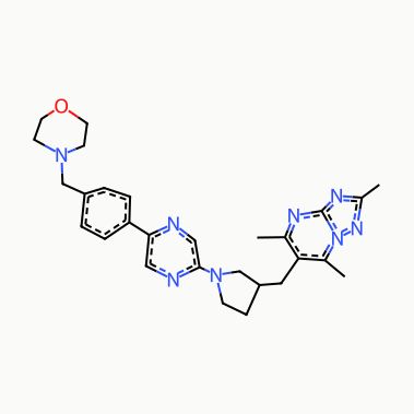 Cc1nc2nc(C)c(CC3CCN(c4cnc(-c5ccc(CN6CCOCC6)cc5)cn4)C3)c(C)n2n1